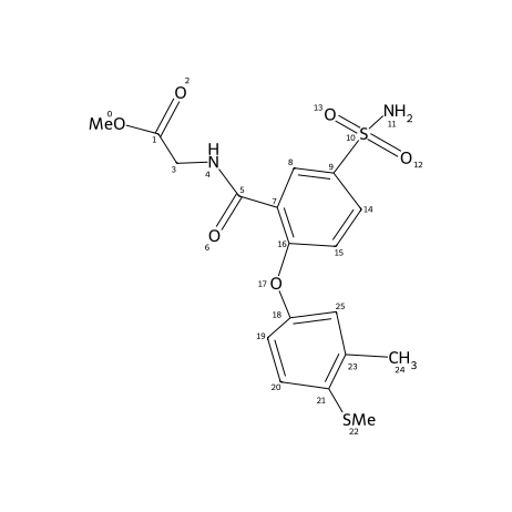 COC(=O)CNC(=O)c1cc(S(N)(=O)=O)ccc1Oc1ccc(SC)c(C)c1